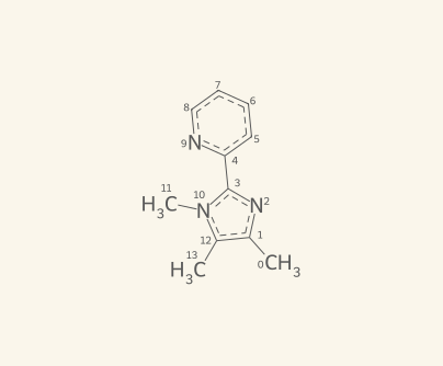 Cc1nc(-c2ccccn2)n(C)c1C